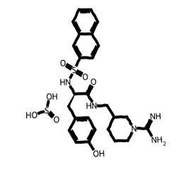 N=C(N)N1CCCC(CNC(=O)[C@@H](Cc2ccc(O)cc2)NS(=O)(=O)c2ccc3ccccc3c2)C1.O=S(O)O